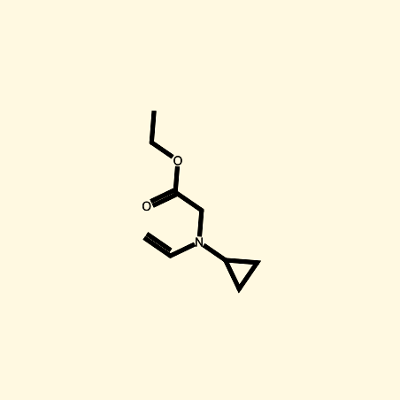 C=CN(CC(=O)OCC)C1CC1